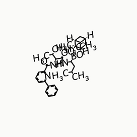 CC(C)CC(NC(=O)C(NC(=O)c1cccc(-c2ccccc2)n1)[C@@H](C)O)B1O[C@@H]2C[C@@H]3C[C@@H](C3(C)C)[C@]2(C)O1